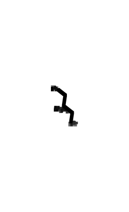 [CH2]C(C)CCCCCC.[MgH2]